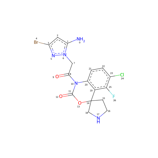 Nc1cc(Br)nn1CC(=O)N1C(=O)OC2(CCNC2)c2c1ccc(Cl)c2F